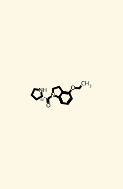 CCOc1cccc2c1CCN2C(=O)[C@@H]1CCCN1